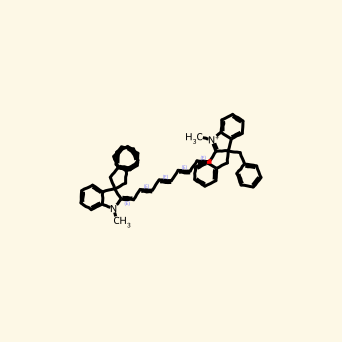 CN1/C(=C/C=C/C=C/C=C/C=C/C2=[N+](C)c3ccccc3C2(Cc2ccccc2)Cc2ccccc2)C(Cc2ccccc2)(Cc2ccccc2)c2ccccc21